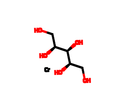 OC[C@@H](O)[C@H](O)[C@@H](O)CO.[Cr]